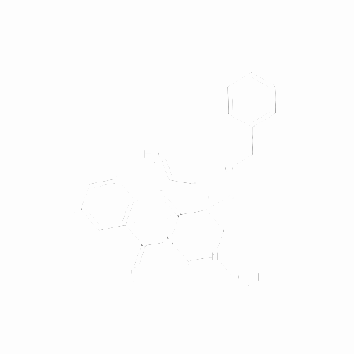 C=CC[C@]1(COCc2ccccc2)CN(C(=O)O)CN(C(=O)c2ccccc2)C1=O